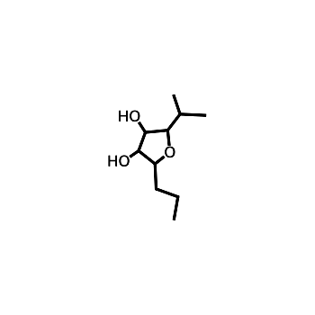 CCCC1OC(C(C)C)C(O)C1O